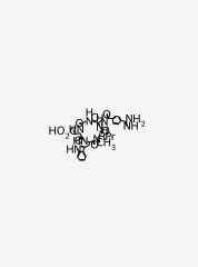 CC(C)C1C(=O)NC(CNC(=O)c2ccc(C(=N)N)cc2)C(=O)NCC(=O)NC(CC(=O)O)C(=O)NC(Cc2c[nH]c3ccccc23)C(=O)N1C